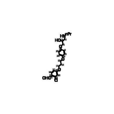 CCCNCC(O)COc1ccc(OCCCOc2ccc(C=O)c(Cl)c2)cc1